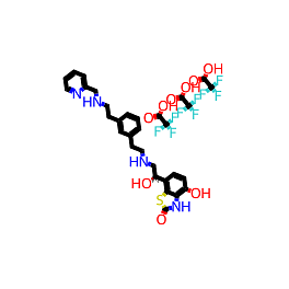 O=C(O)C(F)(F)F.O=C(O)C(F)(F)F.O=C(O)C(F)(F)F.O=c1[nH]c2c(O)ccc([C@@H](O)CNCCc3cccc(CCNCc4ccccn4)c3)c2s1